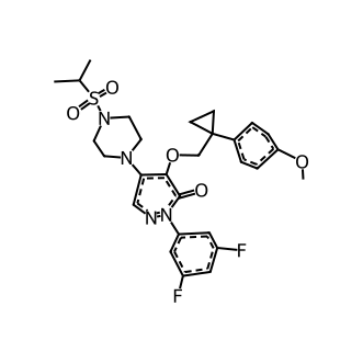 COc1ccc(C2(COc3c(N4CCN(S(=O)(=O)C(C)C)CC4)cnn(-c4cc(F)cc(F)c4)c3=O)CC2)cc1